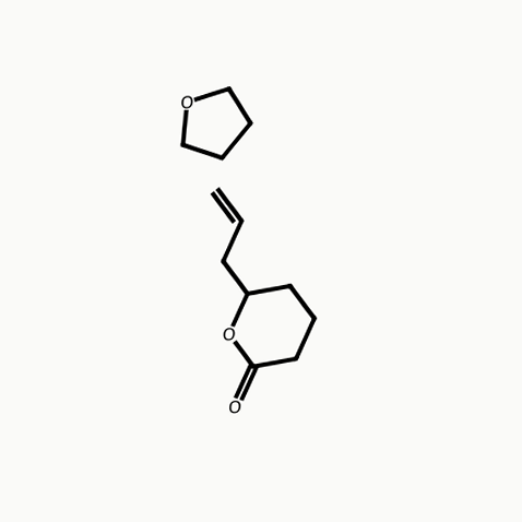 C1CCOC1.C=CCC1CCCC(=O)O1